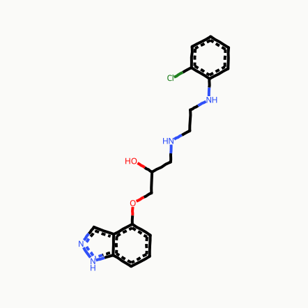 OC(CNCCNc1ccccc1Cl)COc1cccc2[nH]ncc12